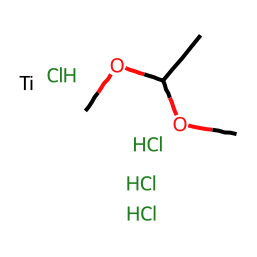 COC(C)OC.Cl.Cl.Cl.Cl.[Ti]